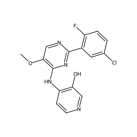 COc1cnc(-c2cc(Cl)ccc2F)nc1Nc1ccncc1O